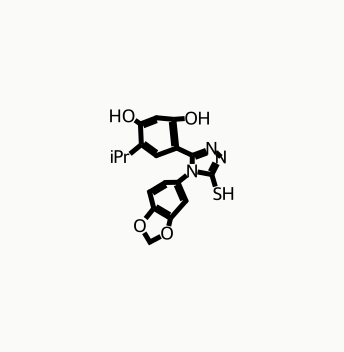 CC(C)c1cc(-c2nnc(S)n2-c2ccc3c(c2)OCO3)c(O)cc1O